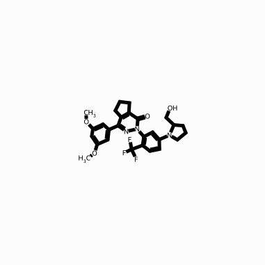 COc1cc(OC)cc(-c2nn(-c3cc(N4CCCC4CO)ccc3C(F)(F)F)c(=O)c3c2CCC3)c1